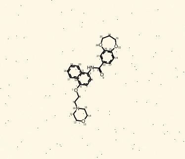 O=C(Nc1ccc(OCCN2CCOCC2)c2ccccc12)c1ccc2c(c1)OCCCO2